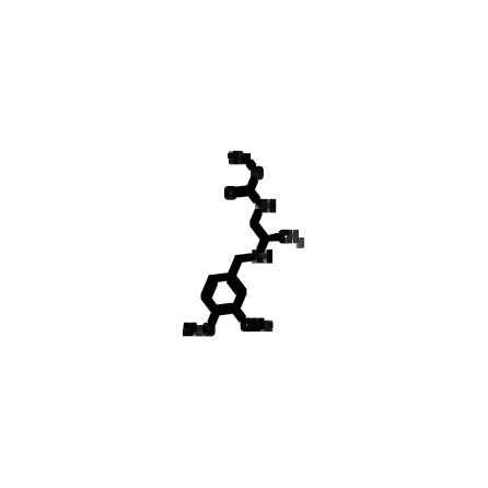 COc1ccc(CN[C@H](C)CNC(=O)OC(C)(C)C)cc1OC